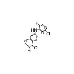 O=C1NC2CC2c2cc(Nc3nc(Cl)ncc3F)ccc21